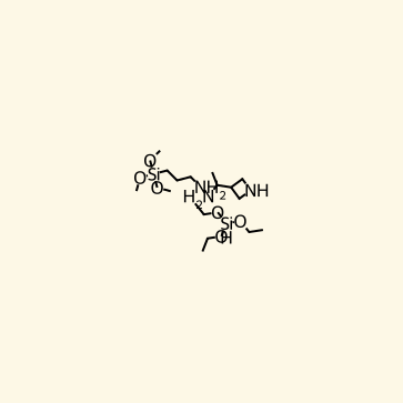 CC(N)C1CNC1.CCO[SiH](OCC)OCC.CO[Si](CCCN)(OC)OC